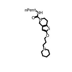 CCCCCNC(=O)N1CCc2sc(OCCCN3CCCCC3)cc2C1